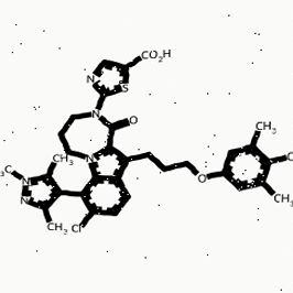 Cc1cc(OCCCc2c3n(c4c(-c5c(C)nn(C)c5C)c(Cl)ccc24)CCCN(c2ncc(C(=O)O)s2)C3=O)cc(C)c1Cl